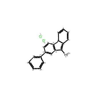 [Cl-].[Cl-].[Hf+2][C]1=C2C=CC=CC2c2ccc(-c3ccccc3)cc21